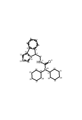 O=C(NCC1c2ccccc2-c2cncn21)N(C1CCCCC1)C1CCCCC1